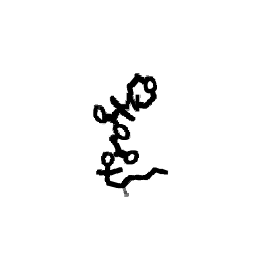 CCCC[C@H](C)CC(C)(C)OC(=O)COC(=O)C(C)(C)N1CCOCC1